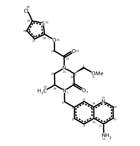 COC[C@H]1C(=O)N(Cc2ccc3c(N)ccnc3c2)C(C)CN1C(=O)COc1ccc(Cl)s1